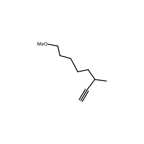 [C]#CC(C)CCCCCOC